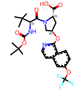 CC(C)(C)OC(=O)N[C@H](C(=O)N1C[C@H](Oc2nccc3cc(OC(F)(F)F)ccc23)C[C@H]1C(=O)O)C(C)(C)C